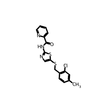 Cc1ccc(CSc2cnc(NC(=O)c3ccccn3)s2)c(Cl)c1